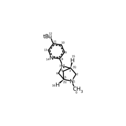 CN1C[C@@H]2C[C@H]1CN2c1ccc(C(C)(C)C)cn1